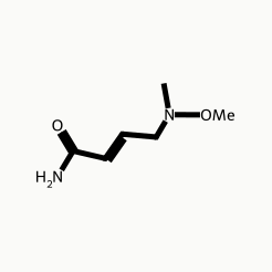 CON(C)CC=CC(N)=O